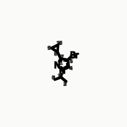 CC(C)n1cc(Br)c(C2CC2)n1